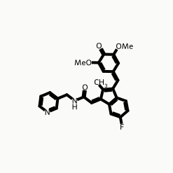 COC1=CC(=CC2=C(C)C(=CC(=O)NCc3cccnc3)c3cc(F)ccc32)C=C(OC)C1=O